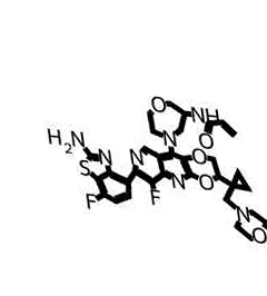 C=CC(=O)NC1COCCN(c2c3c(nc4c(F)c(-c5ccc(F)c6sc(N)nc56)ncc24)OC(C2(CN4CCOCC4)CC2)CO3)C1